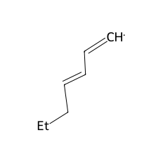 [CH]=C/C=C/CCC